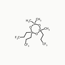 C[Si]1(C)O[Si](C)(CCC(F)(F)F)O[Si](CCC(F)(F)F)(CCC(F)(F)F)O1